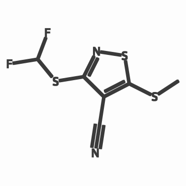 CSc1snc(SC(F)F)c1C#N